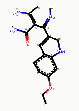 CCOc1ccc2c(c1)NCC(C(=N/C)/C(C(N)=O)=C(\C)N)=C2